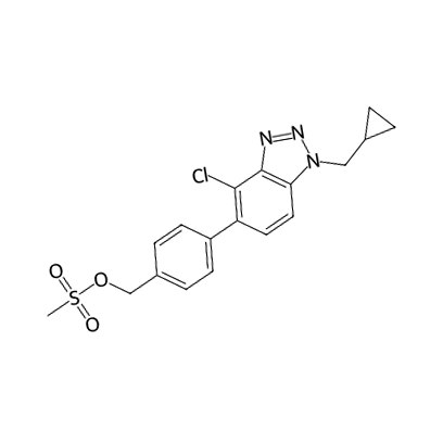 CS(=O)(=O)OCc1ccc(-c2ccc3c(nnn3CC3CC3)c2Cl)cc1